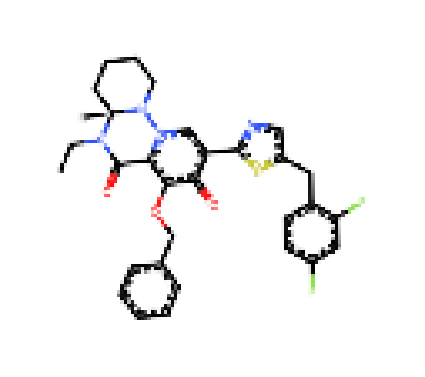 CCN1C(=O)c2c(OCc3ccccc3)c(=O)c(-c3ncc(Cc4ccc(F)cc4F)s3)cn2N2CCCC[C@@H]12